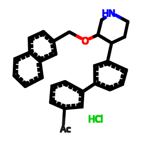 CC(=O)c1cccc(-c2cccc(C3CCNCC3OCc3ccc4ccccc4c3)c2)c1.Cl